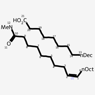 CCCCCCCC/C=C\CCCCCCCC(=O)NC.CCCCCCCCCCCCCCCCCC(=O)O